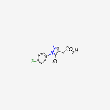 CCc1c(CC(=O)O)cnn1-c1ccc(F)cc1